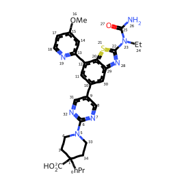 CCCC1(C(=O)O)CCN(c2ncc(-c3cc(-c4cc(OC)ccn4)c4sc(N(CC)C(N)=O)nc4c3)cn2)CC1